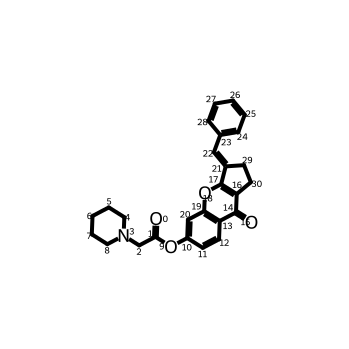 O=C(CN1CCCCC1)Oc1ccc2c(=O)c3c(oc2c1)C(=Cc1ccccc1)CC3